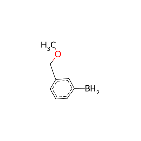 Bc1cccc(COC)c1